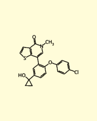 Cn1cc(-c2cc(C3(O)CC3)ccc2Oc2ccc(Cl)cc2)c2sccc2c1=O